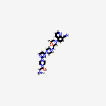 C[C@H]1CN(c2ccc(C#N)c3ncccc23)C[C@@H](CN2CCN(c3ccnc(N4CCN(C(=O)CN(C)C)CC4)n3)CC2)O1